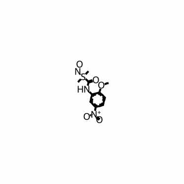 COc1ccc([N+](=O)[O-])cc1NC(=O)S(C)(C)N=O